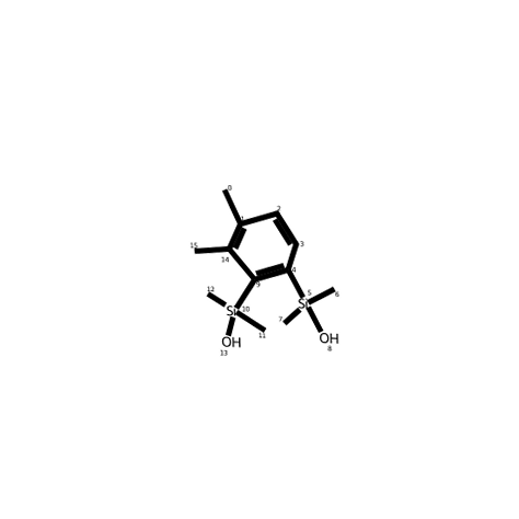 Cc1ccc([Si](C)(C)O)c([Si](C)(C)O)c1C